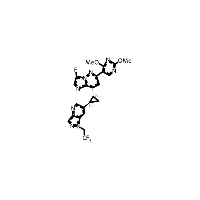 COc1ncc(-c2cc([C@@H]3C[C@H]3c3cnc4cnn(CC(F)(F)F)c4c3)c3ncc(F)n3n2)c(OC)n1